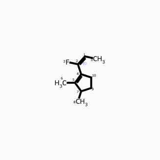 C/C=C(/F)C1=C(C)C(C)CC1